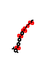 C=CC(=O)OCCOCCOC(=O)Oc1ccc(OC(=O)c2ccc(-c3ccc(C(=O)OC4CC(C)CCC4C(C)C)cc3)cc2)cc1